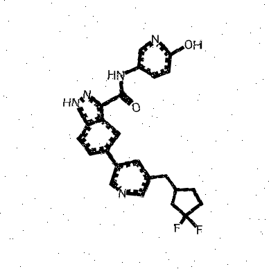 O=C(Nc1ccc(O)nc1)c1n[nH]c2ccc(-c3cncc(CC4CCC(F)(F)C4)c3)cc12